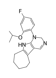 CC(C)Oc1cc(F)ccc1N1CN=Cc2c1[nH]c1c2CCCCC1